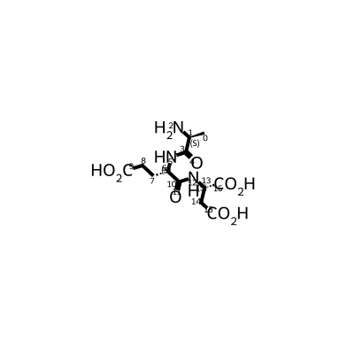 C[C@H](N)C(=O)N[C@@H](CCC(=O)O)C(=O)N[C@@H](CC(=O)O)C(=O)O